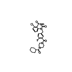 O=C(c1cc(Cn2c(=O)[nH]c(=O)c3c(Cl)cccc32)ccc1F)N1CCN(C(=O)C2CCCCC2)CC1